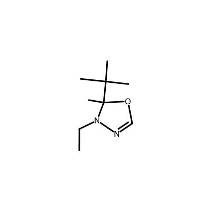 CCN1N=COC1(C)C(C)(C)C